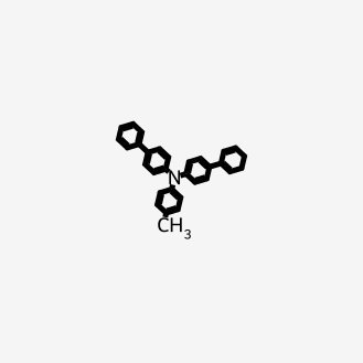 Cc1ccc(N(c2ccc(C3=CCCC=C3)cc2)c2ccc(-c3ccccc3)cc2)cc1